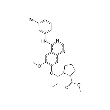 CCC(Oc1cc2ncnc(Nc3cccc(Br)c3)c2cc1OC)N1CCCC1C(=O)OC